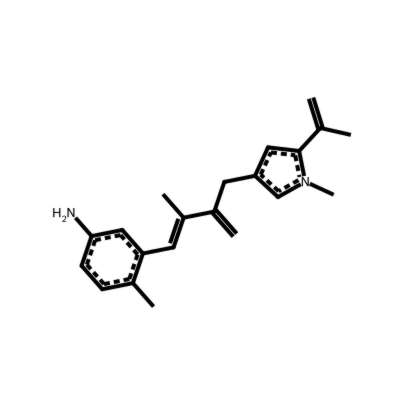 C=C(Cc1cc(C(=C)C)n(C)c1)/C(C)=C/c1cc(N)ccc1C